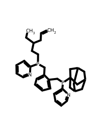 C=CCC(CC)CCP(Cc1ccccc1CP(c1ccccn1)C12CC3CC(CC(C3)C1)C2)c1ccccn1